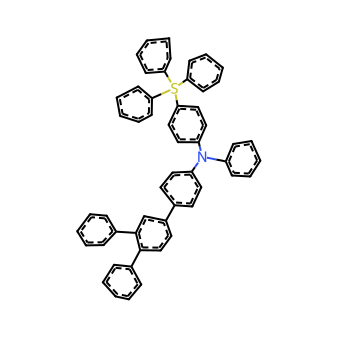 c1ccc(-c2ccc(-c3ccc(N(c4ccccc4)c4ccc(S(c5ccccc5)(c5ccccc5)c5ccccc5)cc4)cc3)cc2-c2ccccc2)cc1